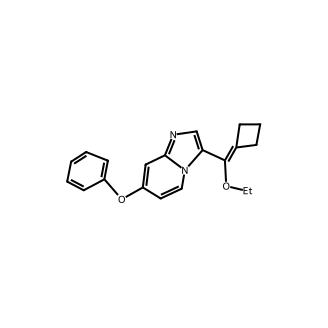 CCOC(=C1CCC1)c1cnc2cc(Oc3ccccc3)ccn12